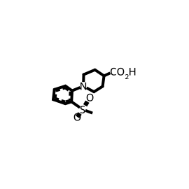 CS(=O)(=O)c1ccccc1N1CCC(C(=O)O)CC1